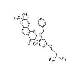 CC(C)CCOc1ccc(C2(O)COc3c(ccc4c3C=CC(C)(C)O4)C2=O)c(OCc2ccccc2)c1